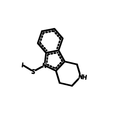 ISn1c2c(c3ccccc31)CNCC2